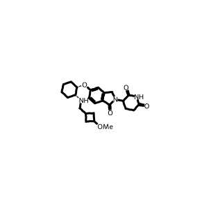 COC1CC(CN[C@@H]2CCCC[C@@H]2Oc2ccc3c(c2)CN(C2CCC(=O)NC2=O)C3=O)C1